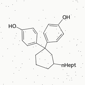 CCCCCCCC1CCCC(c2ccc(O)cc2)(c2ccc(O)cc2)C1